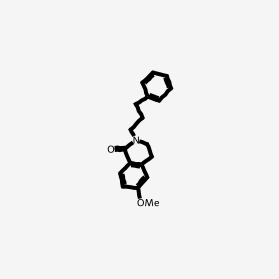 COc1ccc2c(c1)CCN(CCCc1ccccc1)C2=O